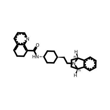 O=C(N[C@H]1CC[C@H](CCN2[C@@H]3CC[C@H]2c2ccccc23)CC1)C1=c2ncccc2=CCC1